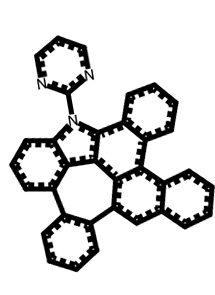 c1cnc(-n2c3cccc4c3c3c5c(cc6ccccc6c5c5ccccc5c32)-c2ccccc2-4)nc1